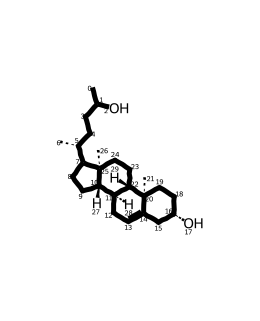 CC(O)CC[C@@H](C)C1CC[C@H]2[C@@H]3CC=C4C[C@@H](O)CC[C@]4(C)[C@H]3CC[C@]12C